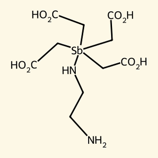 NCC[NH][Sb]([CH2]C(=O)O)([CH2]C(=O)O)([CH2]C(=O)O)[CH2]C(=O)O